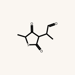 CC1SC(=O)C(C(C)C=O)C1=O